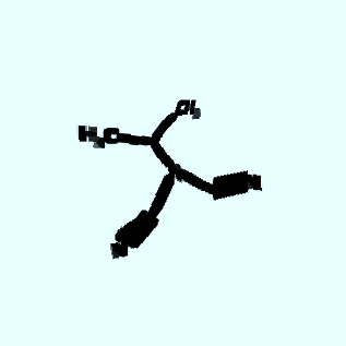 CC(C)N(C#N)C#N